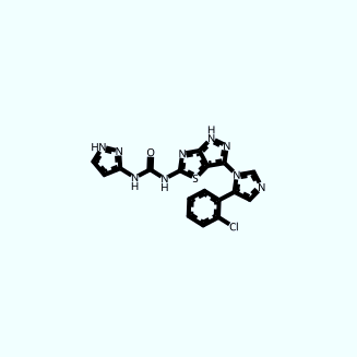 O=C(Nc1cc[nH]n1)Nc1nc2[nH]nc(-n3cncc3-c3ccccc3Cl)c2s1